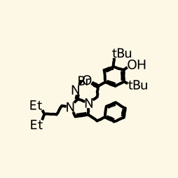 CCC(CC)CCn1cc(Cc2ccccc2)n(CC(=O)c2cc(C(C)(C)C)c(O)c(C(C)(C)C)c2)/c1=N\Br